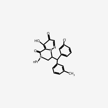 CCCN1CC(C(c2cccc(C)c2)c2cccc(Cl)c2)n2ncc(=O)c(O)c2C1=O